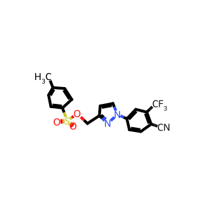 Cc1ccc(S(=O)(=O)OCc2ccn(-c3ccc(C#N)c(C(F)(F)F)c3)n2)cc1